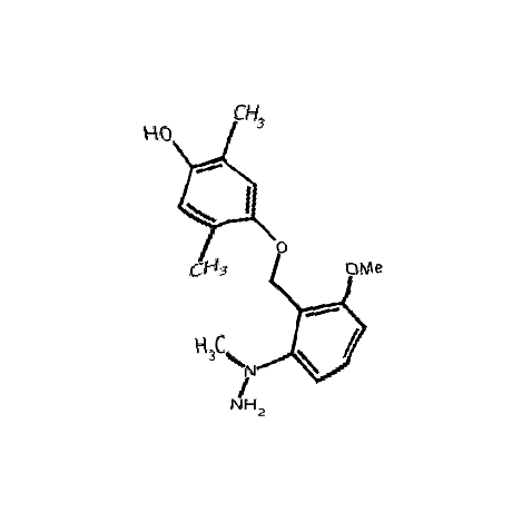 COc1cccc(N(C)N)c1COc1cc(C)c(O)cc1C